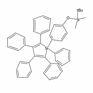 CC(C)(C)[Si](C)(C)Oc1ccc([Si]2(c3ccccc3)C(c3ccccc3)=C(c3ccccc3)C(c3ccccc3)=C2c2ccccc2)cc1